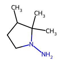 CC1CCN(N)C1(C)C